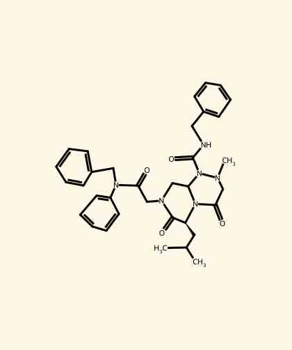 CC(C)C[C@H]1C(=O)N(CC(=O)N(Cc2ccccc2)c2ccccc2)CC2N1C(=O)CN(C)N2C(=O)NCc1ccccc1